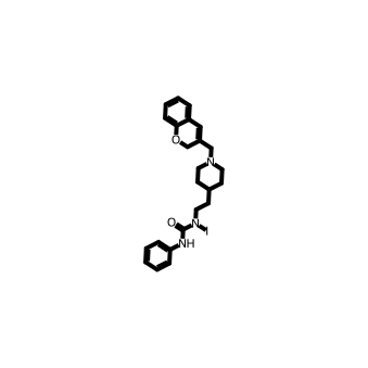 O=C(Nc1ccccc1)N(I)CCC1CCN(CC2=Cc3ccccc3OC2)CC1